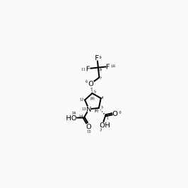 O=C(O)[C@H]1C[C@@H](OCC(F)(F)F)CN1C(=O)O